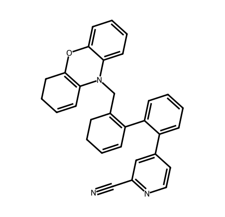 N#Cc1cc(-c2ccccc2C2=C(CN3C4=C(CCC=C4)Oc4ccccc43)CCC=C2)ccn1